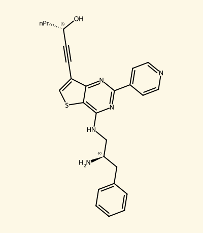 CCC[C@H](O)C#Cc1csc2c(NC[C@H](N)Cc3ccccc3)nc(-c3ccncc3)nc12